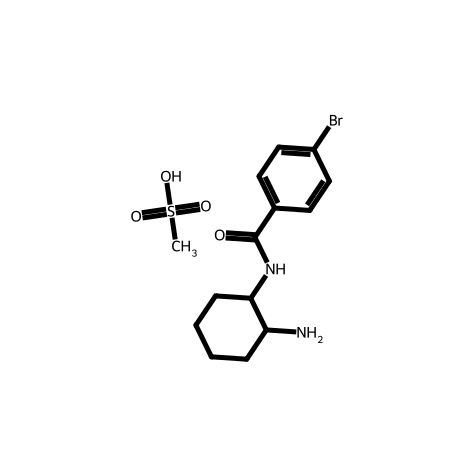 CS(=O)(=O)O.NC1CCCCC1NC(=O)c1ccc(Br)cc1